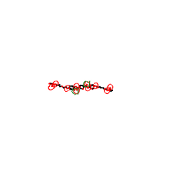 C=CC(=O)OCCCCCCOc1ccc(OC(=O)C2CCC(C(=O)Oc3ccc(OCCCCCCOC(=O)C=C)cc3Cl)CC2)c(Cl)c1